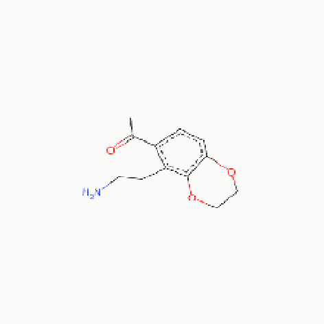 CC(=O)c1ccc2c(c1CCN)OCCO2